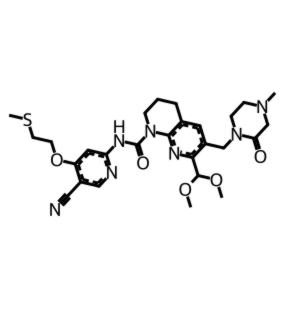 COC(OC)c1nc2c(cc1CN1CCN(C)CC1=O)CCCN2C(=O)Nc1cc(OCCSC)c(C#N)cn1